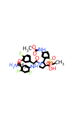 CCS(=O)(=O)c1ccc(NC(=O)OC)cc1C1C(C(=O)O)CCN1C(=O)[C@H](Nc1cc(C(N)=O)c(F)cc1F)c1ccc(F)c(OC)c1